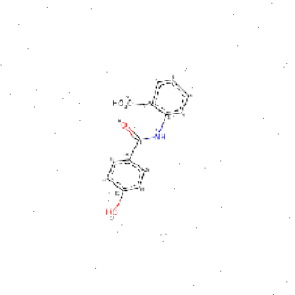 O=C(Nc1ccccc1C(=O)O)c1ccc(O)cc1